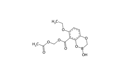 CCOc1ccc2c(c1C(=O)OCOC(C)=O)OB(O)CO2